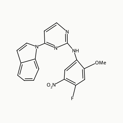 COc1cc(F)c([N+](=O)[O-])cc1Nc1nccc(-n2ccc3ccccc32)n1